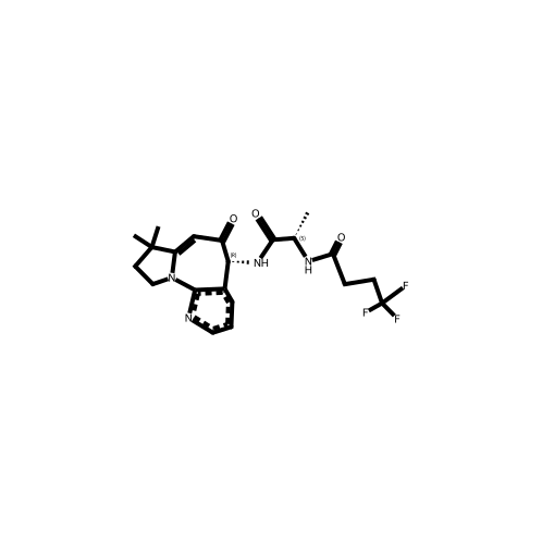 C[C@H](NC(=O)CCC(F)(F)F)C(=O)N[C@H]1C(=O)C=C2N(CCC2(C)C)c2ncccc21